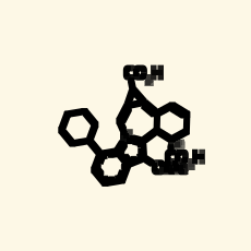 COc1c2n(c3c(C4CCCCC4)cccc13)C=C1C(=C3C=CC[C@@H](C(=O)O)C32)C1C(=O)O